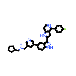 Fc1ccc(-c2nccc3[nH]c(-c4n[nH]c5ccc(-c6cncc(CNCC7CCCC7)c6)cc45)cc23)cc1